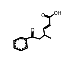 CC(C=CC(=O)O)CC(=O)c1ccccc1